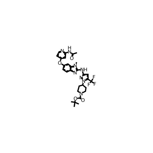 CC(=O)Nc1cc(Oc2ccc3nc(Nc4cc(C(F)(F)F)n(C5CCN(C(=O)OC(C)(C)C)CC5)n4)n(C)c3c2)ccn1